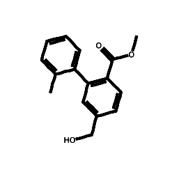 COC(=O)c1ccc(CO)cc1-c1ccccc1C